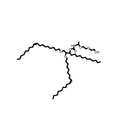 CCCCCCCC/C=C\CCCCCCCCOCC(OCCCCCCCC/C=C\CCCCCCCC)C(CCCCCCCCCCCC)OC(=O)NC(C)OCCOCCO